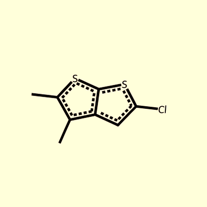 Cc1sc2sc(Cl)cc2c1C